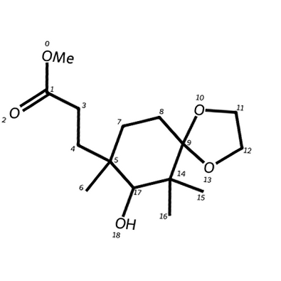 COC(=O)CCC1(C)CCC2(OCCO2)C(C)(C)C1O